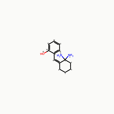 NC1(N)CCCC/C1=C/c1ccccc1O